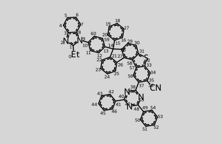 CCc1nc2ccccc2n1-c1ccc(C2(c3ccccc3)c3ccccc3-c3c2ccc2sc4cc(C#N)c(-c5nc(-c6ccccc6)nc(-c6ccccc6)n5)cc4c32)cc1